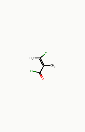 CC(Cl)=C(C)C(=O)Cl